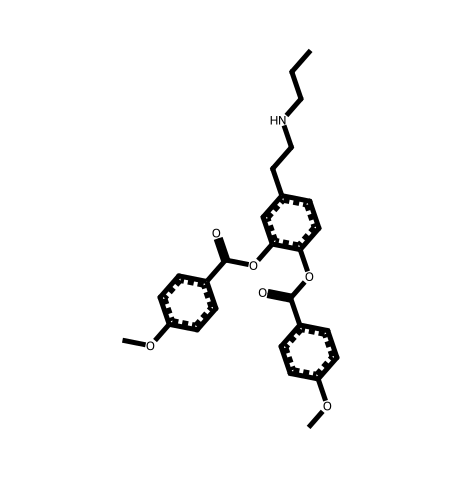 CCCNCCc1ccc(OC(=O)c2ccc(OC)cc2)c(OC(=O)c2ccc(OC)cc2)c1